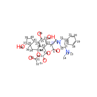 COCC1OC(=O)/C(=C\N(CCN(C)C)Cc2ccccc2)C2=C(O)C(=O)C3=C(C(OC(C)=O)CC4(C)C(O)CCC34)C21C